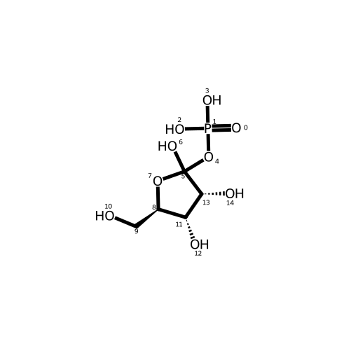 O=P(O)(O)OC1(O)O[C@H](CO)[C@@H](O)[C@H]1O